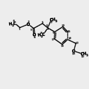 CCOC(=O)CS(C)(C)c1ccc(COC)cc1